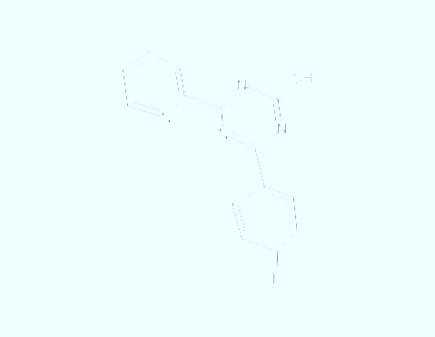 Fc1ccc(-c2nc(S)nc(-c3ccccn3)n2)cc1